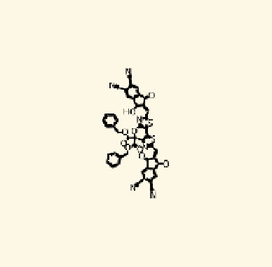 N#Cc1cc2c(cc1C#N)C(=O)C(=Cc1nc3c(s1)-c1sc(/C=C4/C(=O)c5cc(C#N)c(C#N)cc5C4O)nc1OC3(C(=O)OCc1ccccc1)C(=O)OCc1ccccc1)C2=O